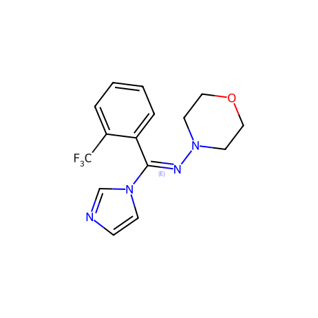 FC(F)(F)c1ccccc1/C(=N\N1CCOCC1)n1ccnc1